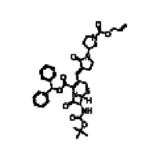 C=CCOC(=O)N1CC[C@H](N2CC/C(=C\C3=C(C(=O)OC(c4ccccc4)c4ccccc4)N4C(=O)[C@@H](NC(=O)OC(C)(C)C)[C@H]4SC3)C2=O)C1